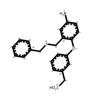 Bc1ccc(Oc2cccc(CC(=O)O)c2)c(CSCc2ccccc2)c1